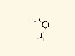 NOC(=O)c1cccc(OCC(F)F)c1